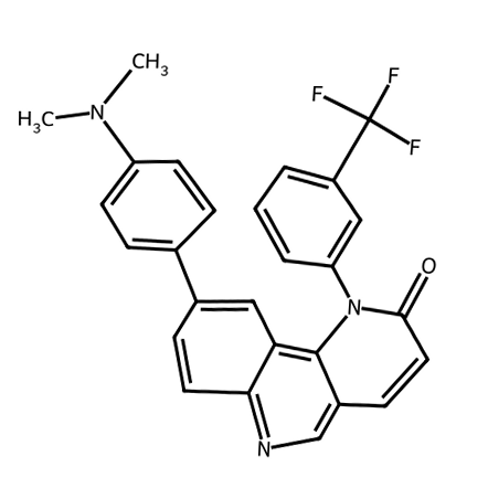 CN(C)c1ccc(-c2ccc3ncc4ccc(=O)n(-c5cccc(C(F)(F)F)c5)c4c3c2)cc1